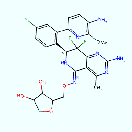 COc1nc(-c2cc(F)ccc2[C@@H]2N/C(=N\OCC3OCC(O)C3O)c3c(C)nc(N)nc3C2(F)F)ccc1N